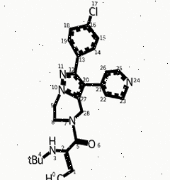 CC=C(NC(C)(C)C)C(=O)N1CCn2nc(-c3ccc(Cl)cc3)c(-c3ccncc3)c2C1